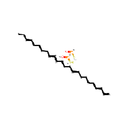 CCCCCCCCCCCCCCCCCCCCCCCC.O=PS.O=PS